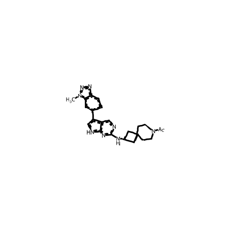 CC(=O)N1CCC2(CC1)CC(Nc1ncc3c(-c4ccc5nnn(C)c5c4)c[nH]c3n1)C2